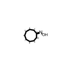 ON=C1CCCCCCCC1